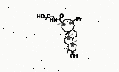 CC(C)[C@@H]1CC[C@](C)(C(=O)NCC(=O)O)CC[C@]2(C)C(CCC3[C@@]4(C)CC[C@@H](O)C(C)(C)C4CC[C@]32C)C1